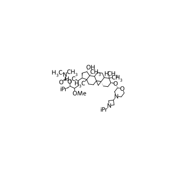 COC(C[C@@H](C)[C@H]1C[C@H](O)[C@@]2(C)C3CC[C@H]4C(C)(C)[C@@H](O[C@H]5CN(C6CN(C(C)C)C6)CCO5)CC[C@@]45CC35CC[C@]12C)[C@H](OC(=O)N(C)C)C(C)C